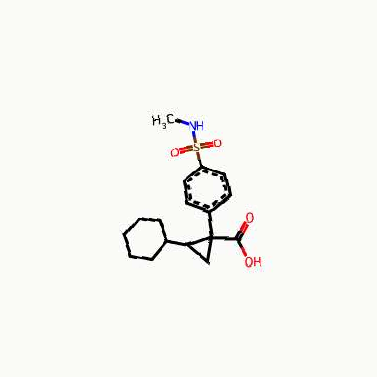 CNS(=O)(=O)c1ccc(C2(C(=O)O)CC2C2CCCCC2)cc1